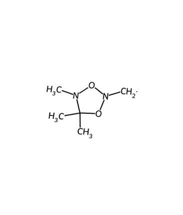 [CH2]N1ON(C)C(C)(C)O1